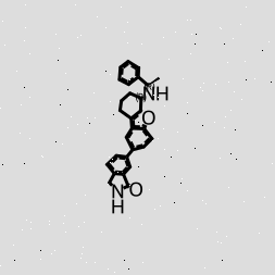 C[C@@H](N[C@@H]1CCCc2c1oc1ccc(-c3ccc4c(c3)C(=O)NC4)cc21)c1ccccc1